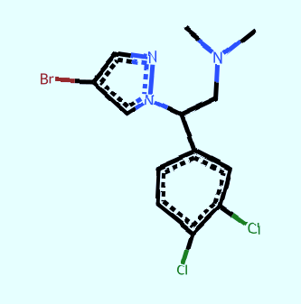 CN(C)CC(c1ccc(Cl)c(Cl)c1)n1cc(Br)cn1